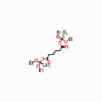 CCOC(C)(OCC)OC(=O)CCCCC(=O)OC(C)(OCC)OCC